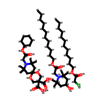 CC1(C)CC2(CC(C)(C)N1CC(=O)OC1CCCCC1)OCC(C(=O)O)(C(=O)O)CO2.CCCCCCCCCCCCOC(=O)CCl.CCCCCCCCCCCCOC(=O)CN1C(C)(C)CC(O)CC1(C)C